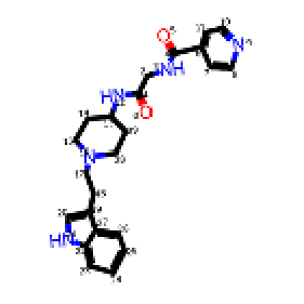 O=C(CNC(=O)c1ccncc1)NC1CCN(CCc2c[nH]c3ccccc23)CC1